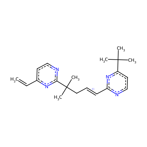 C=Cc1ccnc(C(C)(C)C/C=C/c2nccc(C(C)(C)C)n2)n1